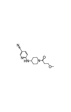 COCCC(=O)N1CCC(Nc2ccc(C#N)cn2)CC1